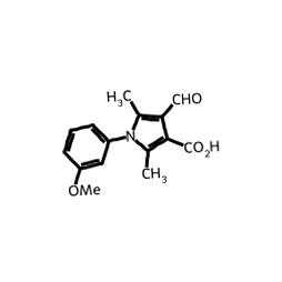 COc1cccc(-n2c(C)c(C=O)c(C(=O)O)c2C)c1